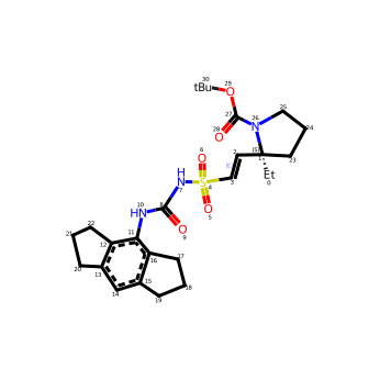 CC[C@@]1(/C=C/S(=O)(=O)NC(=O)Nc2c3c(cc4c2CCC4)CCC3)CCCN1C(=O)OC(C)(C)C